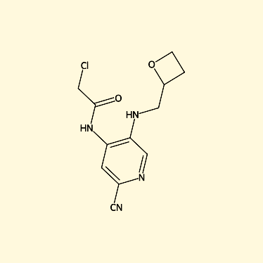 N#Cc1cc(NC(=O)CCl)c(NCC2CCO2)cn1